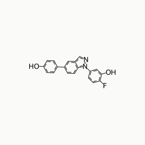 Oc1ccc(-c2ccc3c(cnn3-c3ccc(F)c(O)c3)c2)cc1